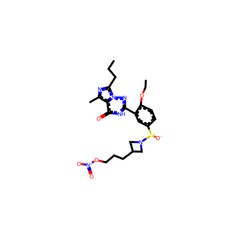 CCCc1nc(C)c2c(=O)[nH]c(-c3cc([S+]([O-])N4CC(CCCO[N+](=O)[O-])C4)ccc3OCC)nn12